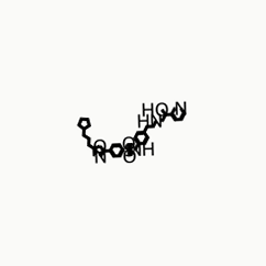 O=S(=O)(Nc1ccc(CCNCC(O)c2cccnc2)cc1)c1ccc(-c2ncc(CCCC3CCCC3)o2)cc1